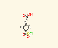 O=C(O)CCc1ccc(S(=O)(=O)Cl)cc1